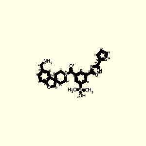 C[Si](C)(O)c1cc(C(=O)N2CCC3(CC2)COc2ccc(CN)cc23)cc(-c2nc(-c3cccs3)no2)c1